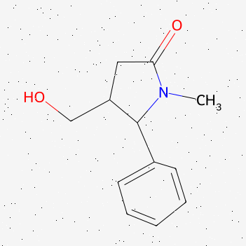 CN1C(=O)CC(CO)C1c1ccccc1